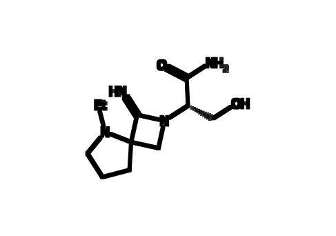 CCN1CCCC12CN([C@@H](CO)C(N)=O)C2=N